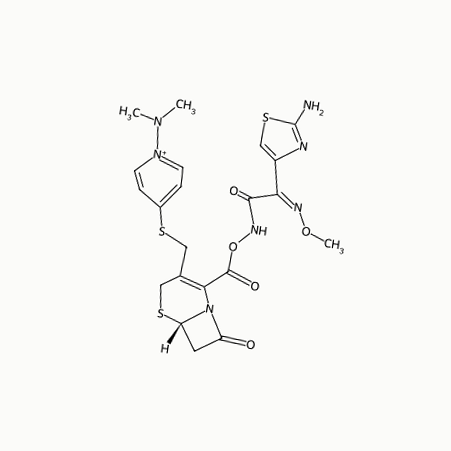 CO/N=C(\C(=O)NOC(=O)C1=C(CSc2cc[n+](N(C)C)cc2)CS[C@H]2CC(=O)N12)c1csc(N)n1